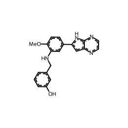 COc1ccc(-c2cc3nccnc3[nH]2)cc1NCc1cccc(O)c1